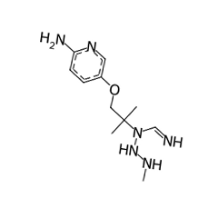 CNNN(C=N)C(C)(C)COc1ccc(N)nc1